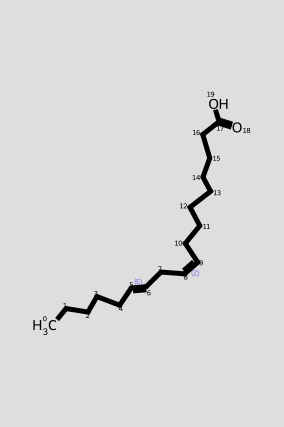 CCCCC/C=C/C/C=C\CCCCCCCC(=O)O